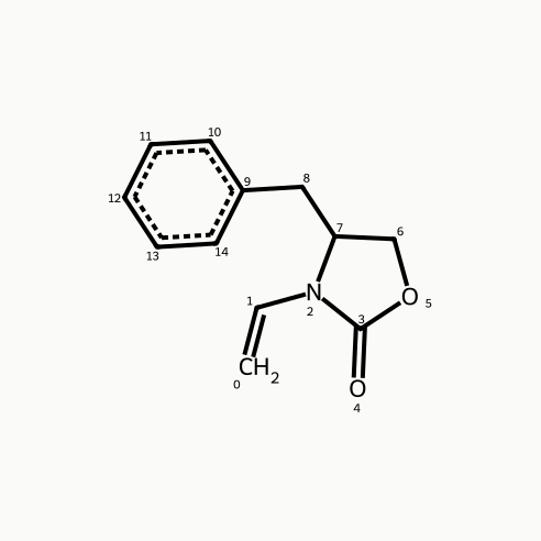 C=CN1C(=O)OCC1Cc1ccccc1